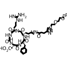 CCCOCCOCCn1cc(CCC(=O)NCCCC[C@@H]2NC(=O)[C@@H](Cc3ccccc3)NC(=O)[C@H](CC(=O)O)NC(=O)CNC(=O)[C@H](CCCNC(=N)N)NC2=O)nn1